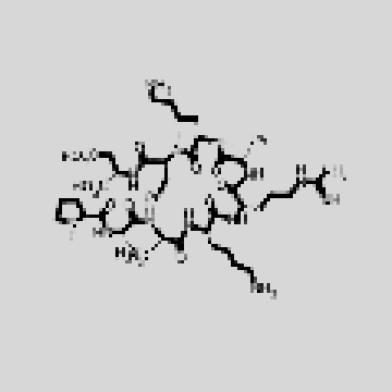 CC(C)C[C@H](NC(=O)[C@H](CCCCN)NC(=O)[C@@H](NC(=O)[C@H](CCCNC(=N)N)NC(=O)[C@H](CCCCN)NC(=O)[C@H](C)NC(=O)[C@H](C)NC(=O)[C@@H]1CCCN1)C(C)C)C(=O)N[C@@H](CC(=O)O)C(=O)O